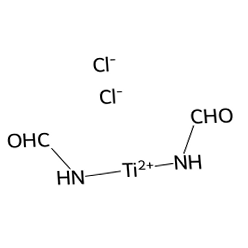 O=C[NH][Ti+2][NH]C=O.[Cl-].[Cl-]